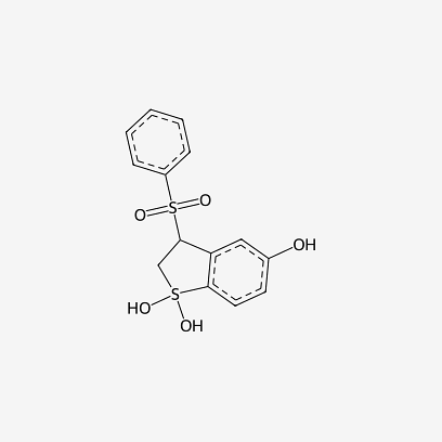 O=S(=O)(c1ccccc1)C1CS(O)(O)c2ccc(O)cc21